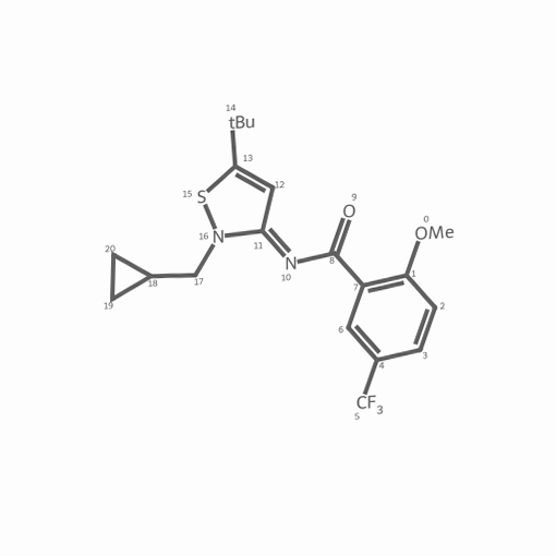 COc1ccc(C(F)(F)F)cc1C(=O)/N=c1\cc(C(C)(C)C)sn1CC1CC1